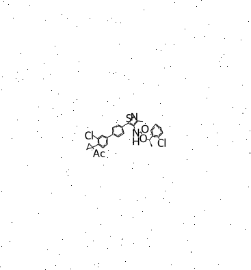 CC(=O)C1(c2ccc(-c3ccc(-c4snc(C)c4NC(=O)O[C@H](C)c4ccccc4Cl)cc3)cc2Cl)CC1